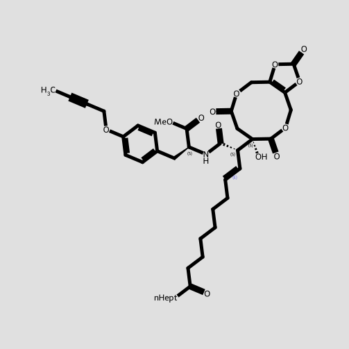 CC#CCOc1ccc(C[C@H](NC(=O)[C@@H](/C=C/CCCCCCC(=O)CCCCCCC)[C@@]2(O)CC(=O)OCc3oc(=O)oc3COC2=O)C(=O)OC)cc1